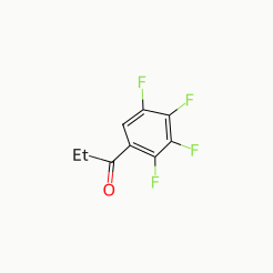 [CH2]CC(=O)c1cc(F)c(F)c(F)c1F